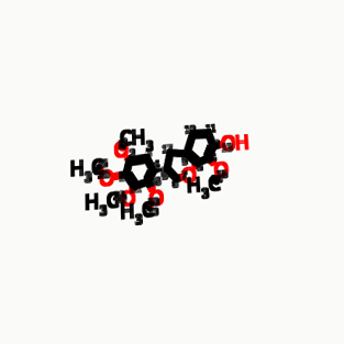 COc1cc([C@H]2COc3c(ccc(O)c3OC)C2)c(OC)c(OC)c1OC